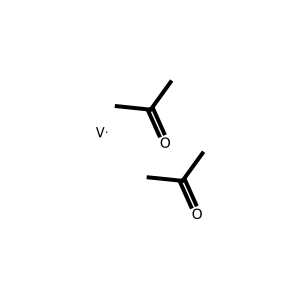 CC(C)=O.CC(C)=O.[V]